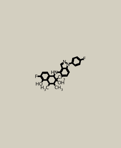 CC1c2c(ccc(F)c2O)C(Nc2cccc3c2cnn3-c2ccc(F)cc2)C(O)(C(F)(F)F)C1C